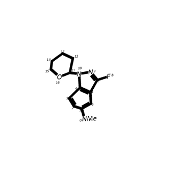 CNc1ccc2c(c1)c(F)nn2C1CCCCO1